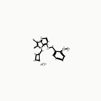 CCOc1ccccc1COc1ccnc2c(C)c(C)n(CC3CCC3)c12.Cl